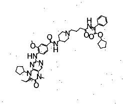 CC[C@@H]1C(=O)N(C)c2cnc(Nc3ccc(C(=O)NC4CCN(CCCC(=O)N[C@H](C(=O)OC5CCCC5)c5ccccc5)CC4)cc3OC)nc2N1C1CCCC1